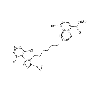 COC(=O)c1ccc(Br)c2nc(CCCCOCc3c(-c4c(Cl)cncc4Cl)noc3C3CC3)ccc12